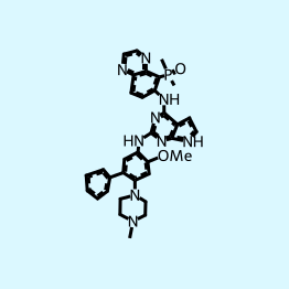 COc1cc(N2CCN(C)CC2)c(-c2ccccc2)cc1Nc1nc(Nc2ccc3nccnc3c2P(C)(C)=O)c2cc[nH]c2n1